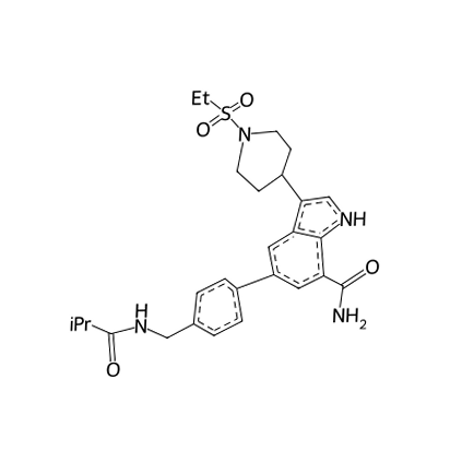 CCS(=O)(=O)N1CCC(c2c[nH]c3c(C(N)=O)cc(-c4ccc(CNC(=O)C(C)C)cc4)cc23)CC1